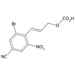 N#Cc1cc(Br)c(C=CCOC(=O)O)c([N+](=O)[O-])c1